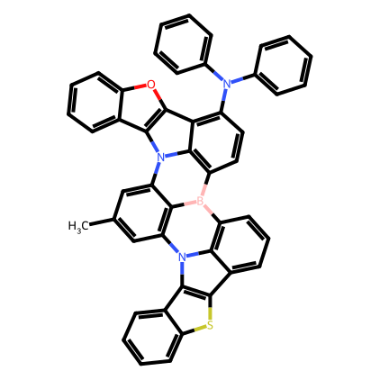 Cc1cc2c3c(c1)-n1c4c(cccc4c4sc5ccccc5c41)B3c1ccc(N(c3ccccc3)c3ccccc3)c3c4oc5ccccc5c4n-2c13